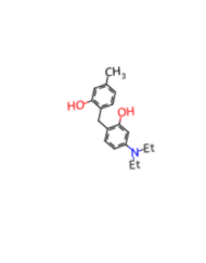 CCN(CC)c1ccc(Cc2ccc(C)cc2O)c(O)c1